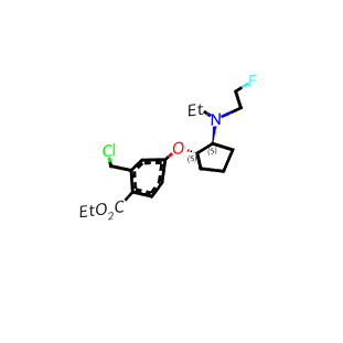 CCOC(=O)c1ccc(O[C@H]2CCC[C@@H]2N(CC)CCF)cc1CCl